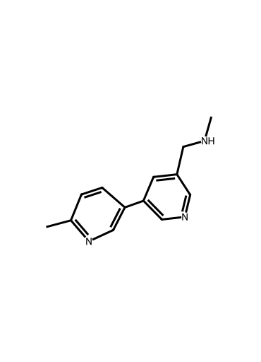 CNCc1cncc(-c2ccc(C)nc2)c1